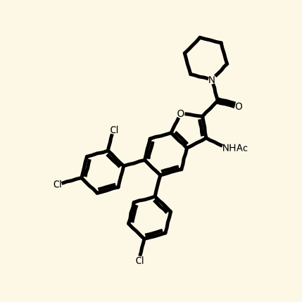 CC(=O)Nc1c(C(=O)N2CCCCC2)oc2cc(-c3ccc(Cl)cc3Cl)c(-c3ccc(Cl)cc3)cc12